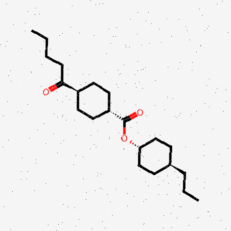 CCCCC(=O)[C@H]1CC[C@H](C(=O)O[C@H]2CC[C@H](CCC)CC2)CC1